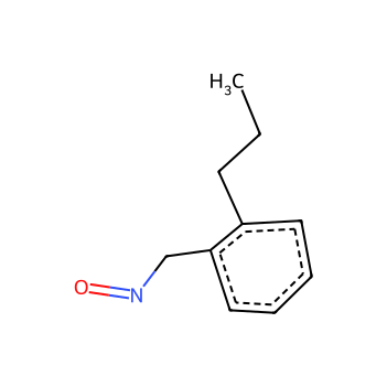 CCCc1ccccc1CN=O